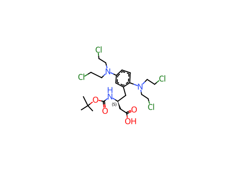 CC(C)(C)OC(=O)N[C@H](CC(=O)O)Cc1cc(N(CCCl)CCCl)ccc1N(CCCl)CCCl